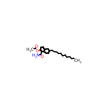 CCCCCCCCCCCCc1ccc2c(C(N)=O)c(OC(C)=O)ccc2c1